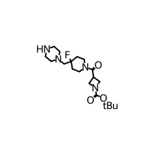 CC(C)(C)OC(=O)N1CC(C(=O)N2CCC(F)(CN3CCNCC3)CC2)C1